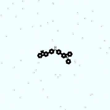 CC1(C)c2ccccc2-c2ccc(-c3ccc(Nc4ccc(-c5ccc6c(c5)c5ccccc5n6-c5ccccc5)cc4)cc3)cc21